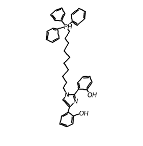 Oc1ccccc1-c1cn(CCCCCCCCCC[PH](c2ccccc2)(c2ccccc2)c2ccccc2)c(-c2ccccc2O)n1